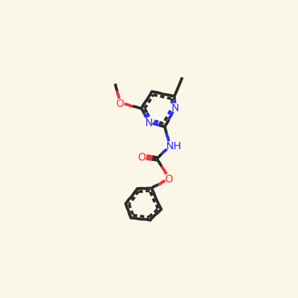 COc1cc(C)nc(NC(=O)Oc2ccccc2)n1